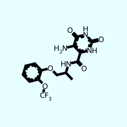 CC(COc1ccccc1OC(F)(F)F)NC(=O)c1[nH]c(=O)[nH]c(=O)c1N